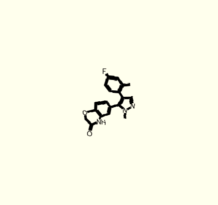 Cc1cc(F)ccc1-c1cnn(C)c1-c1ccc2c(c1)NC(=O)CO2